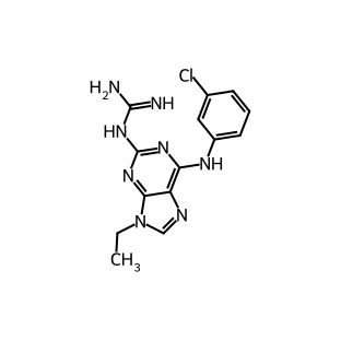 CCn1cnc2c(Nc3cccc(Cl)c3)nc(NC(=N)N)nc21